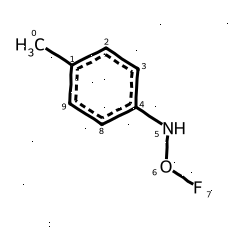 Cc1ccc(NOF)cc1